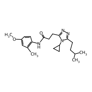 COc1ccc(NC(=O)CCc2nnc(CCC(C)C)n2C2CC2)c(C)c1